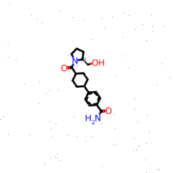 NC(=O)c1ccc(C2CCC(C(=O)N3CCC[C@H]3CO)CC2)cc1